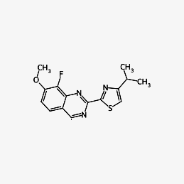 COc1ccc2[c]nc(-c3nc(C(C)C)cs3)nc2c1F